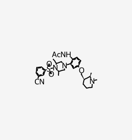 CC(=O)Nc1ccc(OC[C@@H]2CCCN(C)[C@@H]2C)cc1N1CC(C)N(S(=O)(=O)c2cccc(C#N)c2)C(C)C1